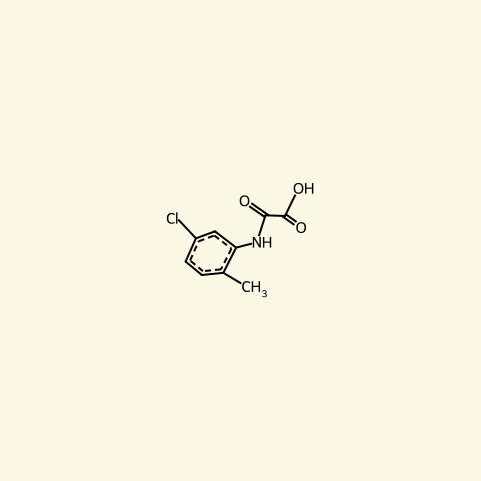 Cc1ccc(Cl)cc1NC(=O)C(=O)O